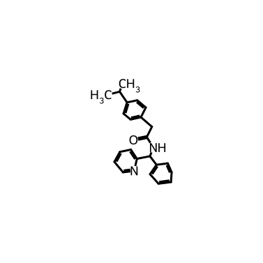 CC(C)c1ccc(CC(=O)NC(c2ccccc2)c2ccccn2)cc1